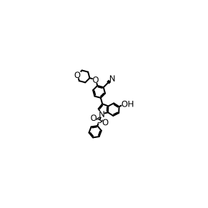 N#Cc1cc(-c2cn(S(=O)(=O)c3ccccc3)c3ccc(O)cc23)ccc1OC1CCOCC1